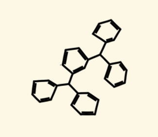 [c]1ccc(C(c2ccccc2)c2ccccc2)cc1C(c1ccccc1)c1ccccc1